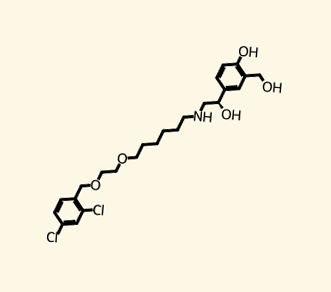 OCc1cc([C@@H](O)CNCCCCCCOCCOCc2ccc(Cl)cc2Cl)ccc1O